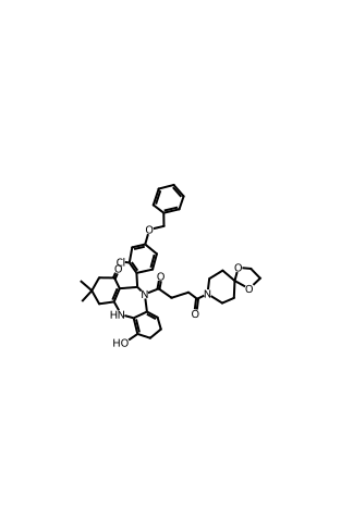 CC1(C)CC(=O)C2=C(C1)NC1=C(O)CCC=C1N(C(=O)CCC(=O)N1CCC3(CC1)OCCO3)C2c1ccc(OCc2ccccc2)cc1Cl